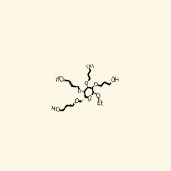 CCO[C@H]1O[C@H](COCCCO)[C@H](OCCCO)[C@H](OCCCO)[C@H]1OCCCO